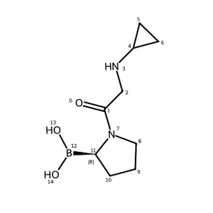 O=C(CNC1CC1)N1CCC[C@H]1B(O)O